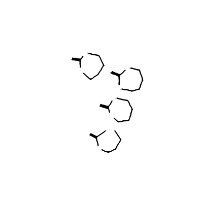 S=C1NCCCCN1.S=C1NCCCCN1.S=C1NCCCCN1.S=C1NCCCCN1.[Pt]